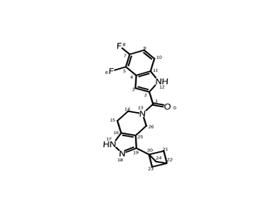 O=C(c1cc2c(F)c(F)ccc2[nH]1)N1CCc2[nH]nc(C34CC(C3)C4)c2C1